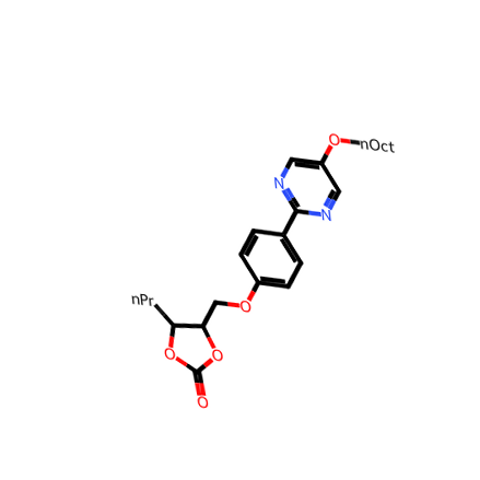 CCCCCCCCOc1cnc(-c2ccc(OCC3OC(=O)OC3CCC)cc2)nc1